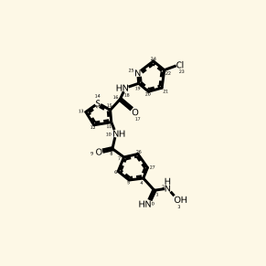 N=C(NO)c1ccc(C(=O)Nc2ccsc2C(=O)Nc2ccc(Cl)cn2)cc1